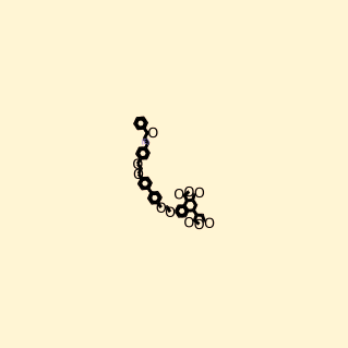 O=C1CC(C2CC3C(=O)OC(=O)C3c3cc(OCOc4ccc(-c5ccc(OCOc6ccc(/C=C/C(=O)c7ccccc7)cc6)cc5)cc4)ccc32)C(=O)O1